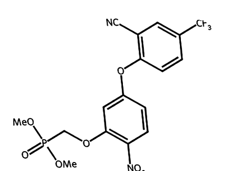 COP(=O)(COc1cc(Oc2ccc(C(F)(F)F)cc2C#N)ccc1[N+](=O)[O-])OC